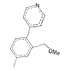 COCc1cc(C)ccc1-c1ccncc1